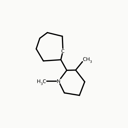 CC1CCCN(C)C1C1CCCCCC1